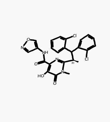 C[C@@H](c1nc(C(=O)Nc2cnoc2)c(O)c(=O)n1C)C(c1ccccc1Cl)c1ccccc1Cl